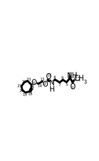 CC(=O)C(N)CCCCNC(=O)OCCOC1C#CCCCCC1